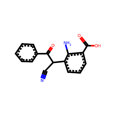 N#CC(C(=O)c1ccccc1)c1cccc(C(=O)O)c1N